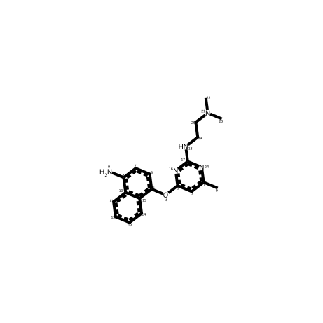 Cc1cc(Oc2ccc(N)c3ccccc23)nc(NCCN(C)C)n1